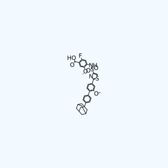 COc1cc(C(=O)O)c(F)cc1NS(=O)(=O)c1csc(-c2ccc(-c3ccc(C45CC6CC(CC(C6)C4)C5)cc3)c(OC)c2)n1